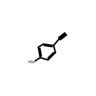 [C]#Cc1ccc([SeH])cc1